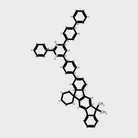 CC1(C)c2ccccc2-c2cc3c(cc21)-c1ccc(-c2ccc(-c4cc(-c5ccc(-c6ccccc6)cc5)nc(-c5ccccc5)n4)cc2)cc1C31CCCCC1